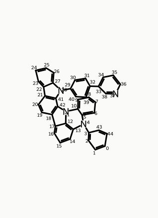 c1ccc(N2c3ccccc3-n3c4c2cccc4c2ccc4c5ccccc5n(-c5ccc(-c6cccnc6)cc5)c4c23)cc1